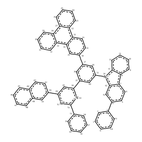 c1ccc(-c2ccc3c4ccccc4n(-c4cc(-c5ccc6c7ccccc7c7ccccc7c6c5)cc(-c5cc(-c6ccc7ccccc7c6)nc(-c6ccccc6)n5)c4)c3c2)cc1